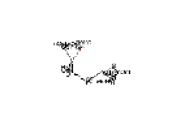 CCCCCCCCC(CCCCCC)COC(=O)CCCCCN(CCCCCCCC(=O)OC(CC)CCCCCCCCCNc1c(NCCCN(CCCCCCCC(=O)OCC(CCCCC)CCCCCCC)CCCCCCCC(=O)OC(CCCCCCCC)CCCCCCCC)c(=O)c1=O)CCCNc1c(NC)c(=O)c1=O